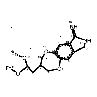 CCOC(CC1COc2cc3c(cc2OC1)C(=N)NC3)OCC